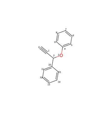 C#CC(Oc1ccccc1)c1ccccc1